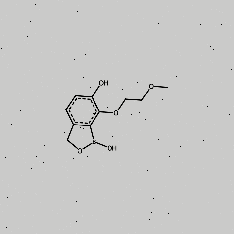 COCCOc1c(O)ccc2c1B(O)OC2